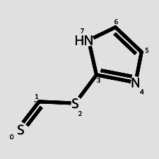 S=[C]Sc1ncc[nH]1